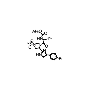 COC(=O)NC(C(=O)N1CN(S(C)(=O)=O)CC1c1nc(-c2ccc(Br)cc2)c[nH]1)C(C)C